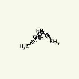 CCCCOCOC(=O)Nc1ccc2[nH]cc(C3=CCN(CCC)CC3)c2c1